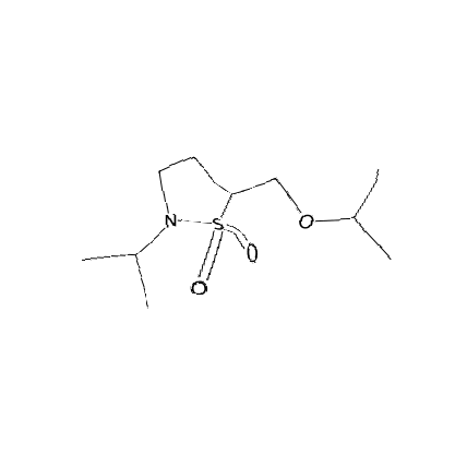 CC(C)OCC1CCN(C(C)C)S1(=O)=O